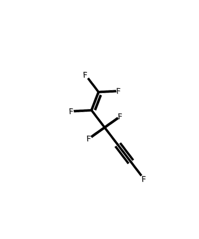 FC#CC(F)(F)C(F)=C(F)F